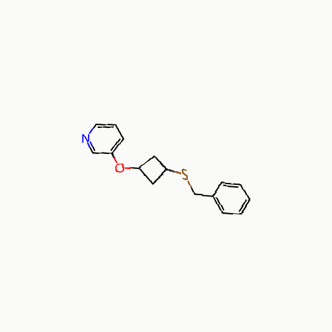 c1ccc(CSC2CC(Oc3cccnc3)C2)cc1